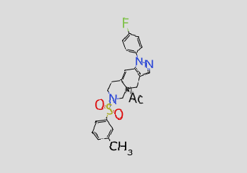 CC(=O)[C@]12Cc3cnn(-c4ccc(F)cc4)c3C=C1CCN(S(=O)(=O)c1cccc(C)c1)C2